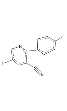 N#Cc1cc(F)cnc1-c1ccc(F)cc1